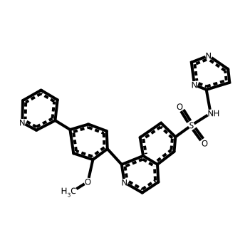 COc1cc(-c2cccnc2)ccc1-c1nccc2cc(S(=O)(=O)Nc3ccncn3)ccc12